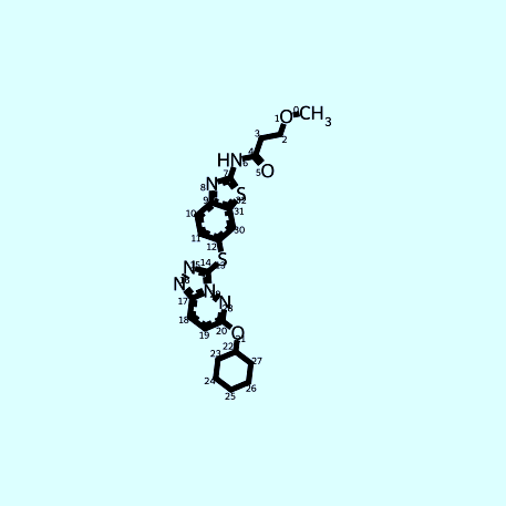 COCCC(=O)Nc1nc2ccc(Sc3nnc4ccc(OC5CCCCC5)nn34)cc2s1